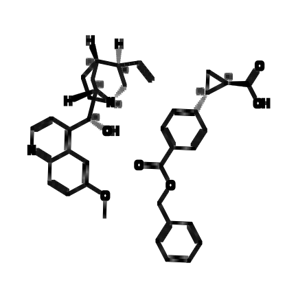 C=C[C@H]1C[N@]2CC[C@H]1C[C@H]2[C@H](O)c1ccnc2ccc(OC)cc12.O=C(OCc1ccccc1)c1ccc([C@@H]2C[C@H]2C(=O)O)cc1